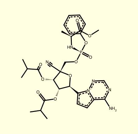 COC(=O)[C@H](C)N[P@@](=O)(OC[C@@]1(C#N)O[C@@H](c2ccc3c(N)ncnn23)[C@H](OC(=O)C(C)C)[C@@H]1OC(=O)C(C)C)Oc1ccccc1